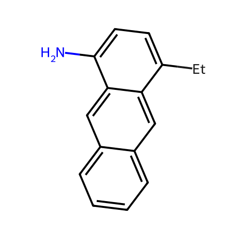 CCc1ccc(N)c2cc3ccccc3cc12